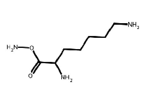 NCCCCCC(N)C(=O)ON